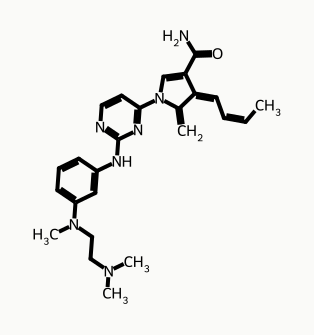 C=c1/c(=C\C=C/C)c(C(N)=O)cn1-c1ccnc(Nc2cccc(N(C)CCN(C)C)c2)n1